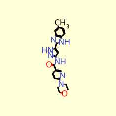 Cc1ccc2[nH]c(-c3cc(NC(=O)c4ccc(N5CCOCC5)nc4)n[nH]3)nc2c1